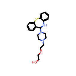 OCCOCCN1CCN(C2Nc3ccccc3Sc3ccccc32)CC1